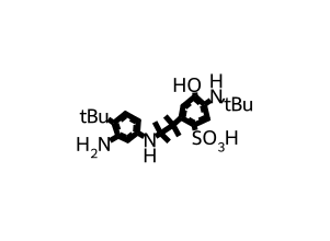 CC(C)(C)Nc1cc(S(=O)(=O)O)c(C(C)(C)C(C)(C)Nc2ccc(C(C)(C)C)c(N)c2)cc1O